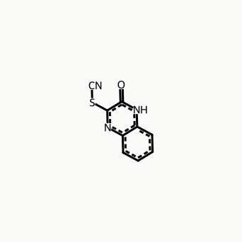 N#CSc1nc2ccccc2[nH]c1=O